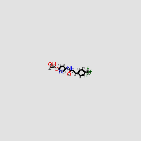 O=C(CCc1ccc(C(F)(F)F)cc1)Nc1ccc(OCCO)nc1